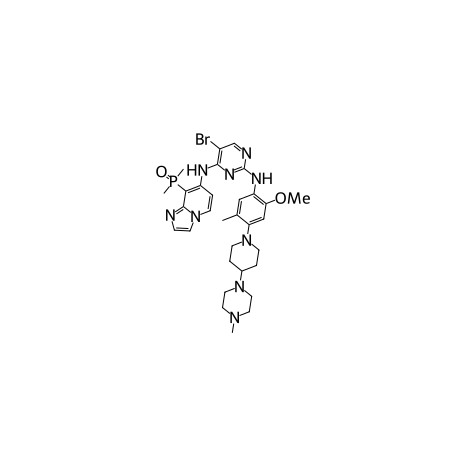 COc1cc(N2CCC(N3CCN(C)CC3)CC2)c(C)cc1Nc1ncc(Br)c(Nc2ccn3ccnc3c2P(C)(C)=O)n1